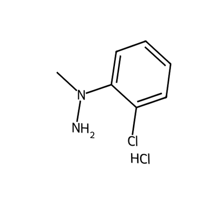 CN(N)c1ccccc1Cl.Cl